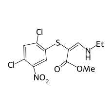 CCNC=C(Sc1cc([N+](=O)[O-])c(Cl)cc1Cl)C(=O)OC